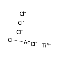 CC(=O)Cl.[Cl-].[Cl-].[Cl-].[Cl-].[Ti+4]